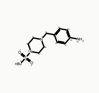 CCCCS(=O)(=O)N1CCN(Cc2ccc(N)cc2)CC1